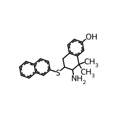 CC1(C)c2cc(O)ccc2CC(Sc2ccc3ccccc3c2)C1N